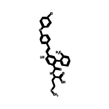 CSCCC(NC(=O)c1ccc(C=Cc2ccc(Oc3ccc(Cl)cc3)cc2)cc1-c1ccccc1C)C(=O)O.[LiH]